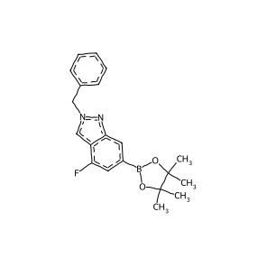 CC1(C)OB(c2cc(F)c3cn(Cc4ccccc4)nc3c2)OC1(C)C